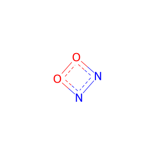 n1noo1